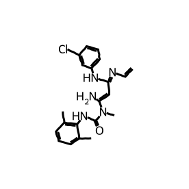 C=C/N=C(\C=C(/N)N(C)C(=O)Nc1c(C)cccc1C)Nc1cccc(Cl)c1